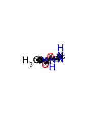 Cc1ccc(N2CC(C(=O)NCCc3c[nH]cn3)CC2=O)cc1